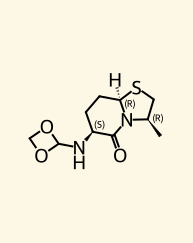 C[C@@H]1CS[C@@H]2CC[C@H](NC3OCO3)C(=O)N12